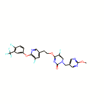 COc1ncc(Cn2cc(F)c(OCCc3cnc(Oc4ccc(F)c(C(F)(F)F)c4)c(F)c3)nc2=O)cn1